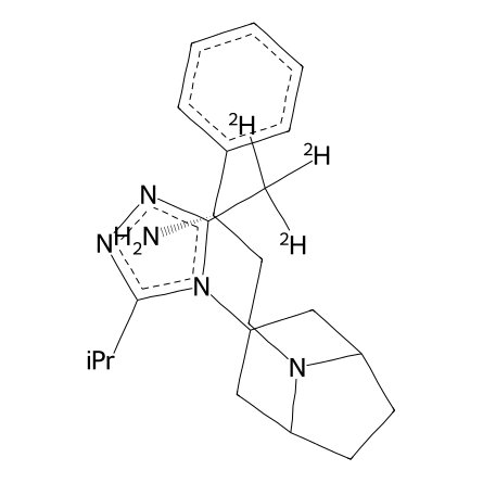 [2H]C([2H])([2H])c1nnc(C(C)C)n1C1CC2CCC(C1)N2CC[C@H](N)c1ccccc1